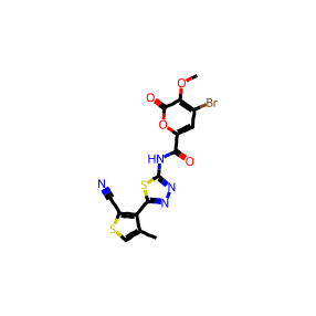 COc1c(Br)cc(C(=O)Nc2nnc(-c3c(C)csc3C#N)s2)oc1=O